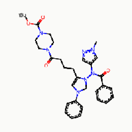 Cn1cc(N(C(=O)c2ccccc2)N2CN(c3ccccc3)C=C2CCCC(=O)N2CCN(C(=O)OC(C)(C)C)CC2)cn1